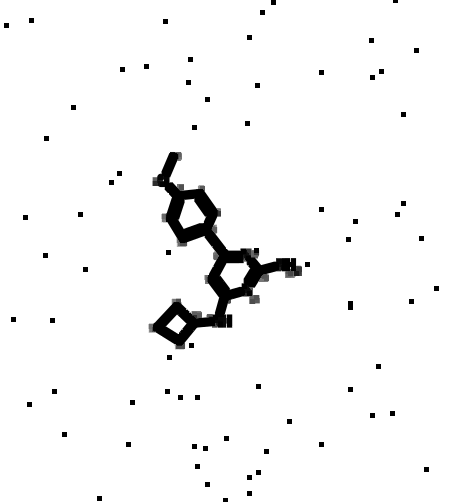 COc1ccc(-c2cc(NC3CCC3)nc(N)n2)cc1